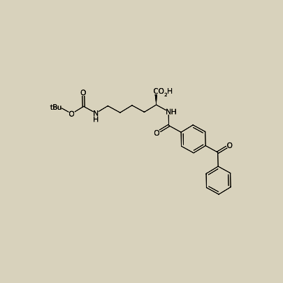 CC(C)(C)OC(=O)NCCCC[C@H](NC(=O)c1ccc(C(=O)c2ccccc2)cc1)C(=O)O